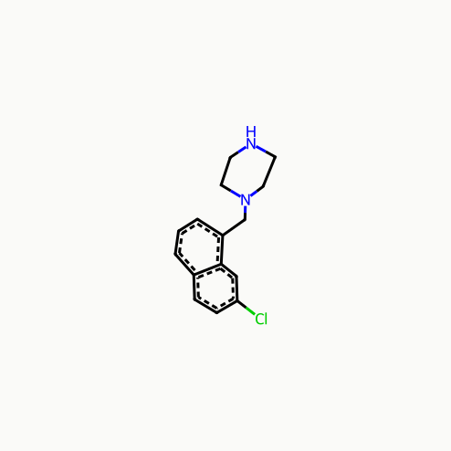 Clc1ccc2cccc(CN3CCNCC3)c2c1